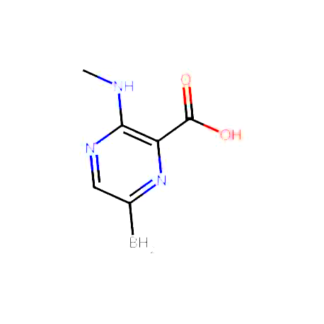 Bc1cnc(NC)c(C(=O)O)n1